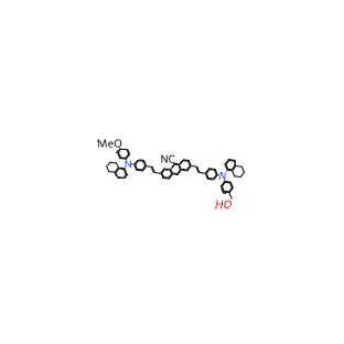 COc1ccc(N(c2ccc(C=Cc3ccc4cc5cc(C=Cc6ccc(N(c7ccc(CO)cc7)c7cccc8c7CCCC8)cc6)ccc5c(C#N)c4c3)cc2)c2cccc3c2CCCC3)cc1